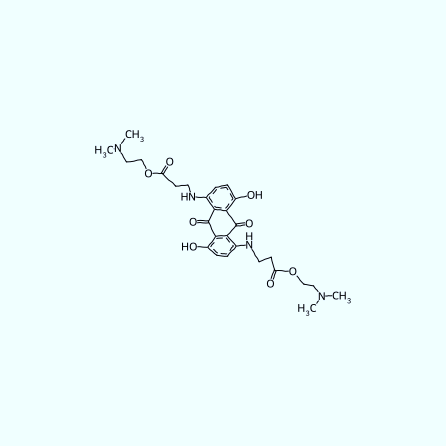 CN(C)CCOC(=O)CCNc1ccc(O)c2c1C(=O)c1c(O)ccc(NCCC(=O)OCCN(C)C)c1C2=O